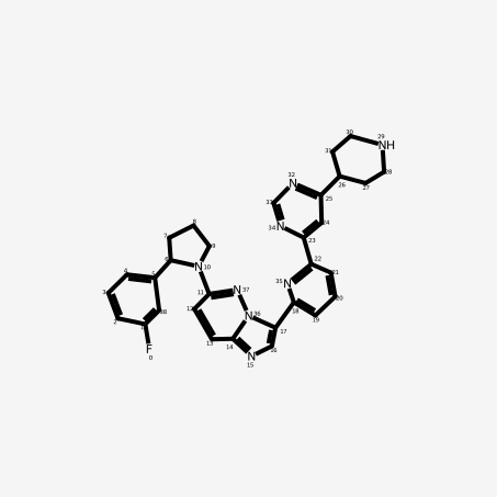 Fc1cccc(C2CCCN2c2ccc3ncc(-c4cccc(-c5cc(C6CCNCC6)ncn5)n4)n3n2)c1